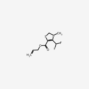 C=CCOC(=O)C1=C(C(F)F)N(C)CS1